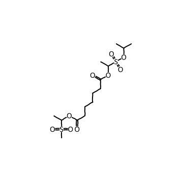 CC(C)OS(=O)(=O)C(C)OC(=O)CCCCCC(=O)OC(C)S(C)(=O)=O